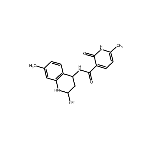 CCCC1CC(NC(=O)c2ccc(C(F)(F)F)[nH]c2=O)c2ccc(C)cc2N1